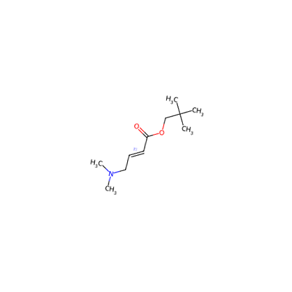 CN(C)C/C=C/C(=O)OCC(C)(C)C